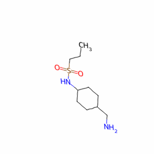 CCCS(=O)(=O)NC1CCC(CN)CC1